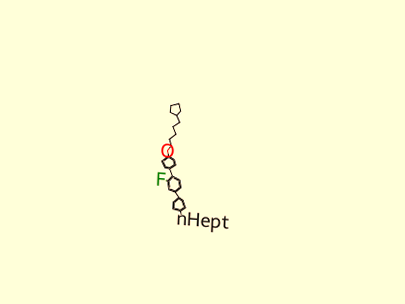 CCCCCCCc1ccc(-c2ccc(-c3ccc(OCCCCCC4CCCC4)cc3)c(F)c2)cc1